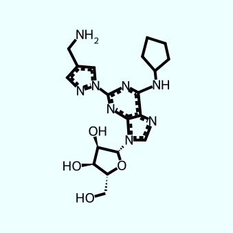 NCc1cnn(-c2nc(NC3CCCC3)c3ncn([C@@H]4O[C@H](CO)[C@@H](O)[C@H]4O)c3n2)c1